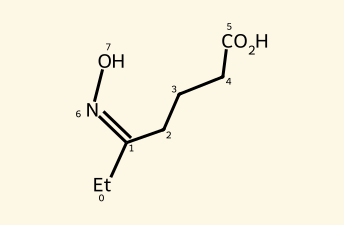 CCC(CCCC(=O)O)=NO